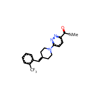 CNC(=O)c1ccc(N2CCC(=Cc3ccccc3C(F)(F)F)CC2)nn1